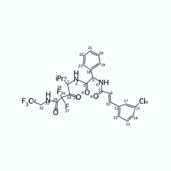 CC(C)C(NC(=O)C(NC(=O)/C=C/c1cccc(Cl)c1)c1ccccc1)C(=O)C(F)(F)C(=O)NCC(F)(F)F